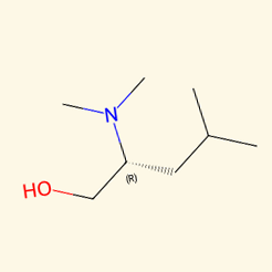 CC(C)C[C@H](CO)N(C)C